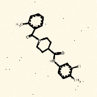 Cc1ccc(NC(=O)C2CCN(C(=O)c3ccccc3C)CC2)cc1Cl